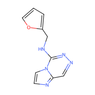 c1coc(CNc2nncc3nccn23)c1